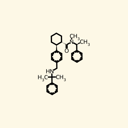 C[C@@H](c1ccccc1)N(C)C(=O)[C@H]1CCCC[C@@H]1c1ccc(CNC(C)(C)c2ccccc2)cc1